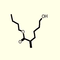 C=C(CCCCO)C(=O)OCCCC